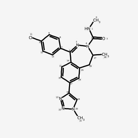 CNC(=O)N1N=C(c2ccc(Cl)cc2)c2ccc(-c3cn(C)nn3)cc2CC1C